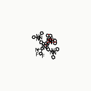 N#Cc1cc(-n2c3ccc(-c4nc(-c5ccccc5)nc(-c5ccccc5)n4)cc3c3cc(-c4nc(-c5ccccc5)nc(-c5ccccc5)n4)ccc32)c(-n2c3ccc(-c4nc(-c5ccccc5)nc(-c5ccccc5)n4)cc3c3cc(-c4nc(-c5ccccc5)nc(-c5ccccc5)n4)ccc32)cc1-c1cc(F)cc(F)c1